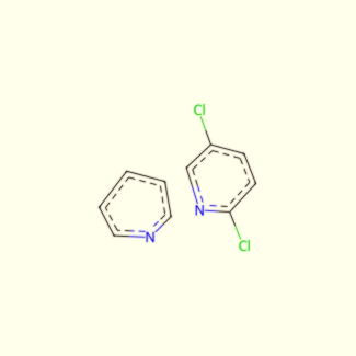 Clc1ccc(Cl)nc1.c1ccncc1